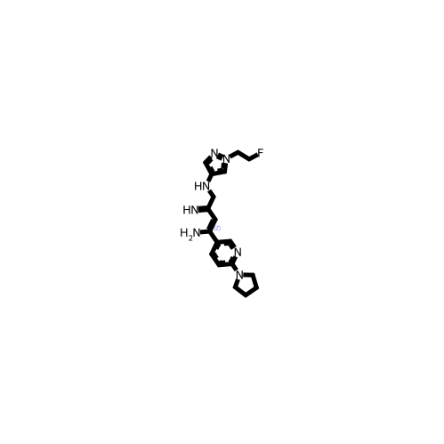 N=C(/C=C(\N)c1ccc(N2CCCC2)nc1)CNc1cnn(CCF)c1